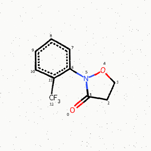 O=C1CCON1c1ccccc1C(F)(F)F